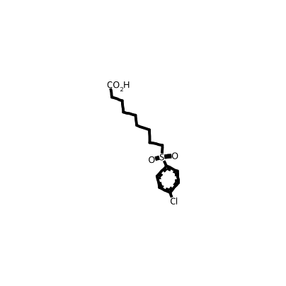 O=C(O)CCCCCCCCS(=O)(=O)c1ccc(Cl)cc1